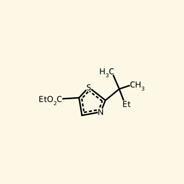 CCOC(=O)c1cnc(C(C)(C)CC)s1